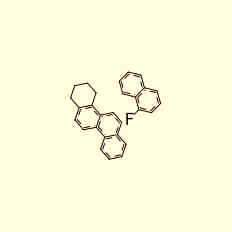 Fc1cccc2ccccc12.c1ccc2c(c1)ccc1c3c(ccc12)CCCC3